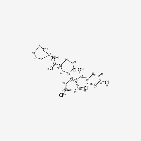 O=C(NC1CCCCC1)N1CCC(OC(c2ccc(Cl)cc2)c2ccc(Cl)cc2Cl)CC1